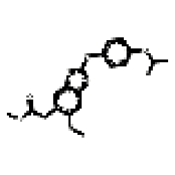 COC(=O)Cc1cc2nc(Nc3ccc(OC(C)C)cc3)[nH]c2cc1OC